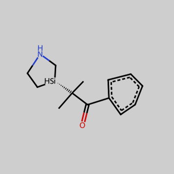 CC(C)(C(=O)c1ccccc1)[Si@@H]1CCNC1